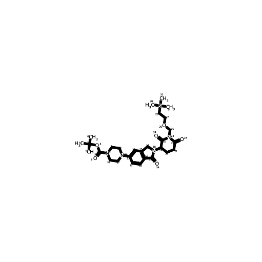 CC(C)(C)OC(=O)N1CCN(c2ccc3c(c2)CN(C2CCC(=O)N(COCC[Si](C)(C)C)C2=O)C3=O)CC1